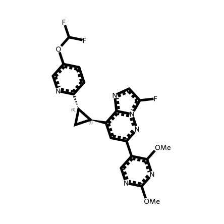 COc1ncc(-c2cc([C@H]3C[C@@H]3c3ccc(OC(F)F)cn3)c3ncc(F)n3n2)c(OC)n1